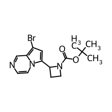 CC(C)(C)OC(=O)N1CCC1c1cc(Br)c2cnccn12